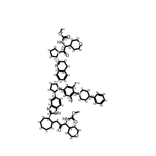 COC(=O)N[C@H](C(=O)CC1CCCCC[C@H]1c1nc2cc([C@H]3CC[C@H](c4ccc5c(c4)N=C([C@@H]4CCCN4C(=O)[C@@H](NC(=O)OC)C4CCOCC4)CC5)N3c3cc(F)c(N4CCC(c5ccccc5)CC4)c(F)c3)ccc2[nH]1)C1CCOCC1